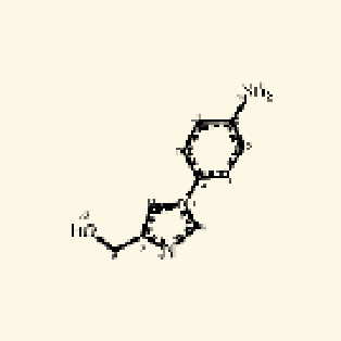 Nc1ccc(-n2cnc(CO)c2)cc1